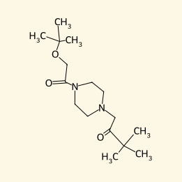 CC(C)(C)OCC(=O)N1CCN(CC(=O)C(C)(C)C)CC1